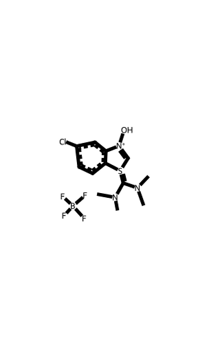 CN(C)C(N(C)C)=S1C=[N+](O)c2cc(Cl)ccc21.F[B-](F)(F)F